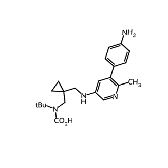 Cc1ncc(NCC2(CN(C(=O)O)C(C)(C)C)CC2)cc1-c1ccc(N)cc1